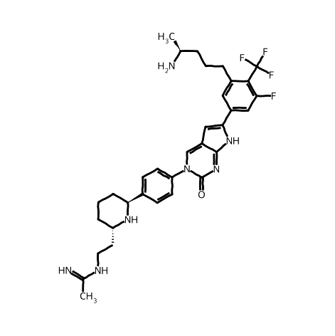 CC(=N)NCC[C@@H]1CCC[C@@H](c2ccc(-n3cc4cc(-c5cc(F)c(C(F)(F)F)c(CCC[C@H](C)N)c5)[nH]c4nc3=O)cc2)N1